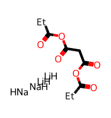 CCC(=O)OC(=O)CC(=O)OC(=O)CC.[LiH].[LiH].[NaH].[NaH]